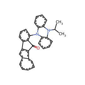 CC(C)N1c2ccccc2N(c2cccc3c2C(=O)c2c4cccccc-4cc2-3)c2ccccc21